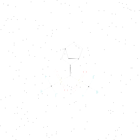 O=S(=O)(C(C1CC2C=CC1C2)S(=O)(=O)C(F)(F)F)C(F)(F)F